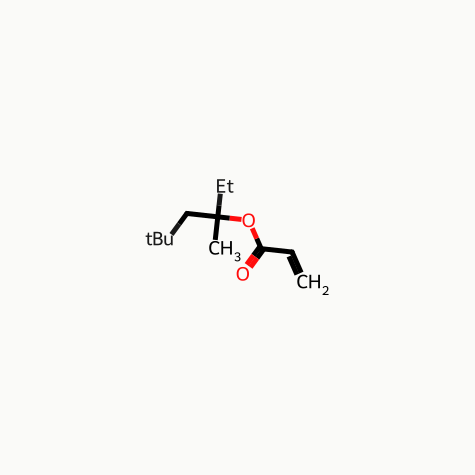 C=CC(=O)OC(C)(CC)CC(C)(C)C